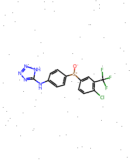 [O-][S+](c1ccc(Nc2nnn[nH]2)cc1)c1ccc(Cl)c(C(F)(F)F)c1